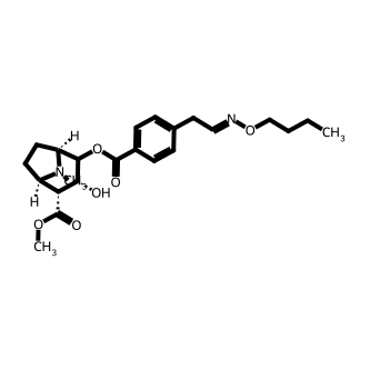 CCCCON=CCc1ccc(C(=O)OC2[C@H](O)[C@H](C(=O)OC)[C@H]3CC[C@@H]2N3C)cc1